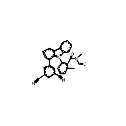 Cc1cccc(-n2c3ccccc3c3cccc(-c4cc(C#N)cc(C#N)c4)c32)c1C(=O)N(C)C=O